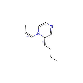 C/C=C\N1C=CN=C/C1=C\CCC